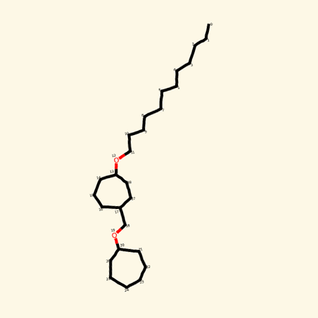 [CH2]CCCCCCCCCCCOC1CCCC(COC2CC[CH]CCC2)CC1